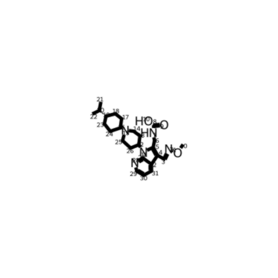 CON=Cc1c(CNC(=O)O)n(C2CCN([C@H]3CC[C@@H](C(C)C)CC3)CC2)c2ncccc12